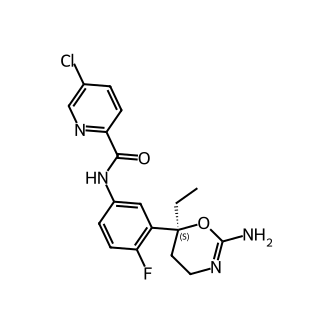 CC[C@@]1(c2cc(NC(=O)c3ccc(Cl)cn3)ccc2F)CCN=C(N)O1